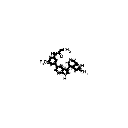 C=CC(=O)Nc1cc(-c2cnc3[nH]cc(-c4cncc5[nH]c(C)cc45)c3c2)cc(C(F)(F)F)c1